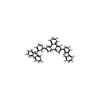 c1cc(-c2ccc3c4ccc(-c5cccc6c5sc5ccccc56)cc4c4ccccc4c3c2)cc(-n2c3ccccc3c3ccccc32)c1